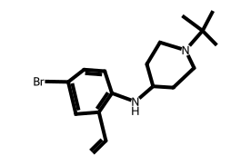 C=Cc1cc(Br)ccc1NC1CCN(C(C)(C)C)CC1